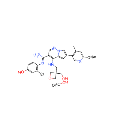 CCc1cc(O)ccc1N=C(N)c1cnn2cc(-c3cnc(OC)cc3C)cc2c1NCC1(CO)COC1.O=CO